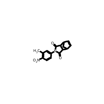 Cc1cc(N2C(=O)C3C4C=CC(C4)C3C2=O)ccc1[N+](=O)[O-]